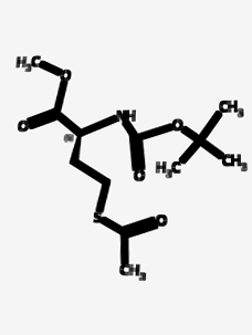 COC(=O)[C@H](CCSC(C)=O)NC(=O)OC(C)(C)C